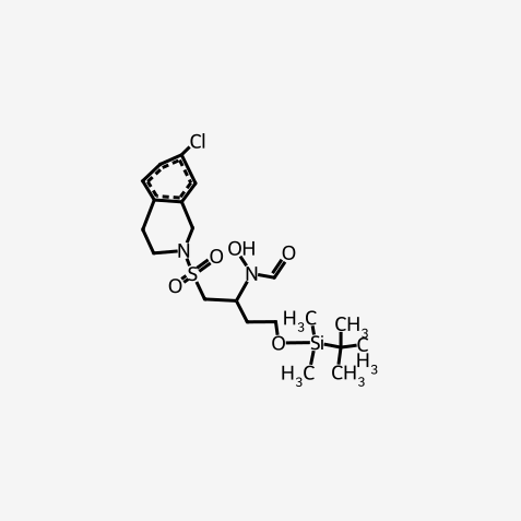 CC(C)(C)[Si](C)(C)OCCC(CS(=O)(=O)N1CCc2ccc(Cl)cc2C1)N(O)C=O